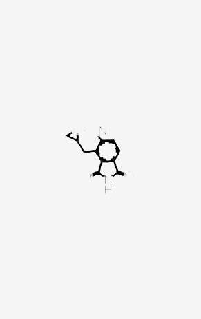 O=C1NC(=O)c2c1ccc([N+](=O)[O-])c2CC1CO1